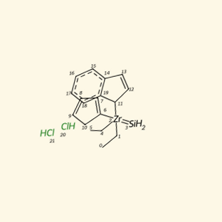 C[CH2][Zr](=[SiH2])([CH2]C)([C]1=CC=CC1)[CH]1C=Cc2ccccc21.Cl.Cl